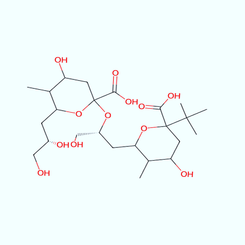 CC1C(O)CC(O[C@@H](CO)CC2OC(C(=O)O)(C(C)(C)C)CC(O)C2C)(C(=O)O)OC1C[C@H](O)CO